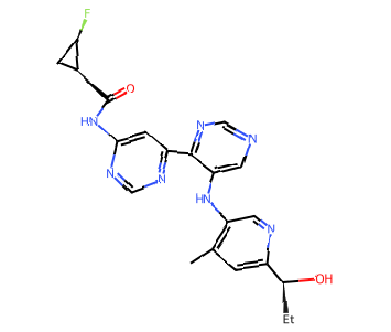 CC[C@H](O)c1cc(C)c(Nc2cncnc2-c2cc(NC(=O)[C@H]3C[C@H]3F)ncn2)cn1